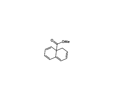 COC(=O)C12C=CC=CC1=CC=CC2